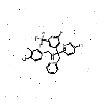 Cc1cc(CNC(Cc2ccccc2)(c2cc(F)cc(C(F)(F)F)c2)c2ccc(Cl)cn2)ccc1Cl